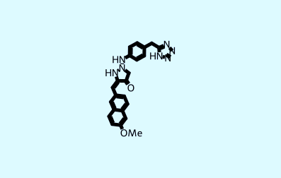 COc1ccc2cc(/C=C3/NN(Nc4ccc(Cc5nnn[nH]5)cc4)CC3=O)ccc2c1